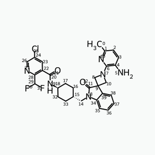 Cc1ccc(N)c(N2CC3(C2)C(=O)N(C[C@H]2CC[C@H](NC(=O)c4cc(Cl)cnc4C(F)F)CC2)c2ccccc23)n1